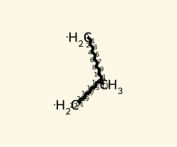 [CH2]CCCCCCCCCCCC(C)CCCCCCCC[CH2]